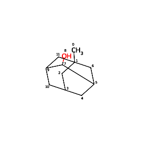 CC12CC3CC(C1)C(O)C(C3)C2